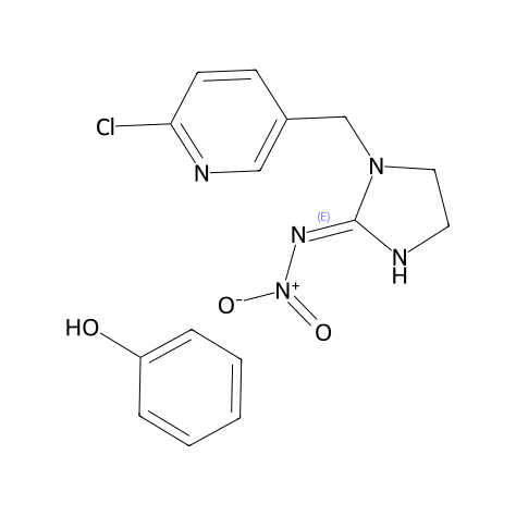 O=[N+]([O-])/N=C1\NCCN1Cc1ccc(Cl)nc1.Oc1ccccc1